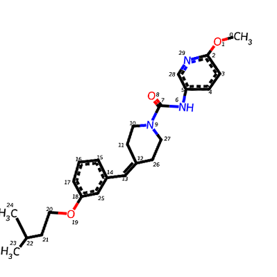 COc1ccc(NC(=O)N2CCC(=Cc3cccc(OCCC(C)C)c3)CC2)cn1